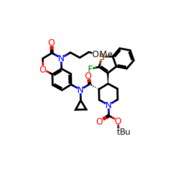 COCCCN1C(=O)COc2ccc(N(C(=O)[C@H]3CN(C(=O)OC(C)(C)C)CC[C@@H]3c3c(F)sc4ccccc34)C3CC3)cc21